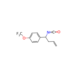 C=CCC(N=C=O)c1ccc(OC(F)(F)F)cc1